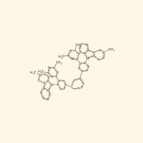 Cc1ccc2c(c1)c1ccccc1n2-c1ccc(-c2cccc(-c3ccc(-n4c5ccccc5c5cc(C)ccc54)c(-c4nc(C)nc(C)n4)c3)c2)cc1-c1nc(C)nc(C)n1